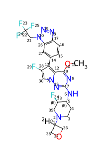 [2H]C1(N2CC[C@@H](Nc3nc(OC)c4c(-c5ccc6nnn(CC(F)(F)F)c6c5)c(F)cn4n3)[C@H](F)C2)COC1